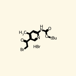 Br.Cc1cc(NC(=O)OC(C)(C)C)ncc1C(=O)CBr